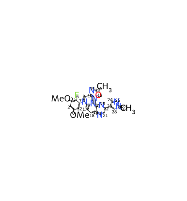 COc1cc(OC)c(F)c(N(Cc2noc(C)n2)c2ccc3ncc(-c4cnn(C)c4)nc3n2)c1